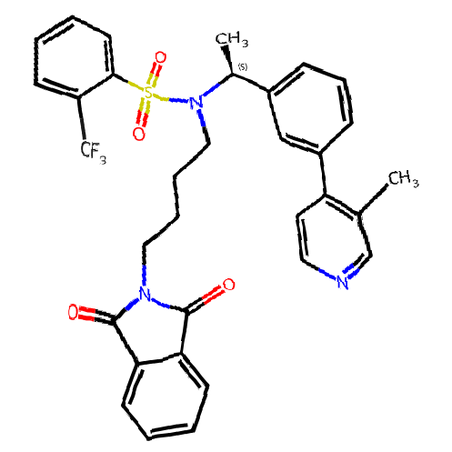 Cc1cnccc1-c1cccc([C@H](C)N(CCCCN2C(=O)c3ccccc3C2=O)S(=O)(=O)c2ccccc2C(F)(F)F)c1